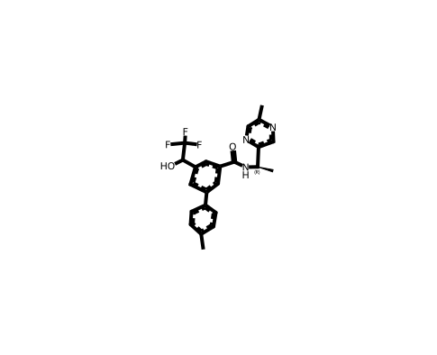 Cc1ccc(-c2cc(C(=O)N[C@H](C)c3cnc(C)cn3)cc(C(O)C(F)(F)F)c2)cc1